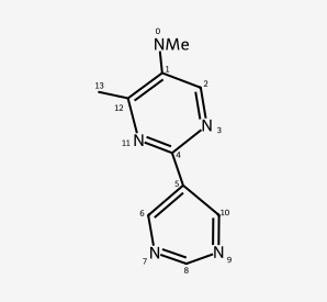 CNc1cnc(-c2cncnc2)nc1C